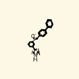 [O-][S+](Cc1ccc(-c2ccccc2)cc1)c1cccc(-c2nn[nH]n2)c1